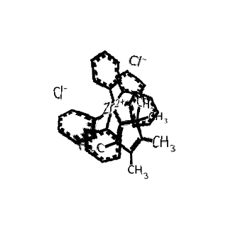 CC1=C(C)C(C)(C)[C]([Zr+2]([c]2ccccc2)([c]2ccccc2)([c]2ccccc2)([c]2ccccc2)[c]2ccc[pH]2)=C1C.[Cl-].[Cl-]